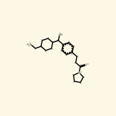 NCC1CCC(C(O)c2ccc(CCC(=O)N3CCCC3)cc2)CC1